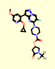 [2H]C([2H])([2H])N1C[C@@H](OC(=O)N2CCN(c3nc4c(-c5cc(OC)cnc5OC5CC5)cnn4cc3F)CC2)CC1=O